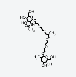 CC(=O)NC1C(O)[C@@H](O)C(CO)O[C@H]1OCCOCCOCC(C)COCCOCCO[C@@H]1OC(CO)[C@H](O)C(O)CC1C